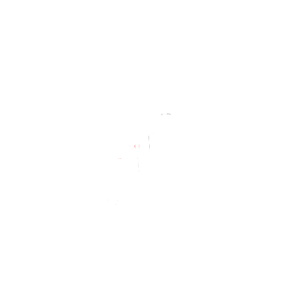 CCCCCCCCCCCCO.OO